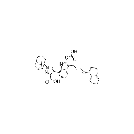 O=C(O)Oc1[nH]c2c(-c3cn(C45CC6CC(CC(C6)C4)C5)nc3C(=O)O)cccc2c1CCCOc1cccc2ccccc12